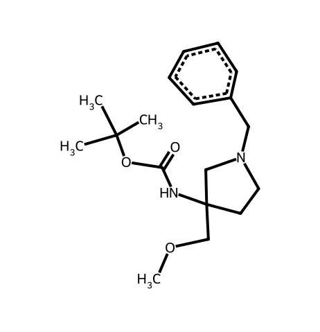 COCC1(NC(=O)OC(C)(C)C)CCN(Cc2ccccc2)C1